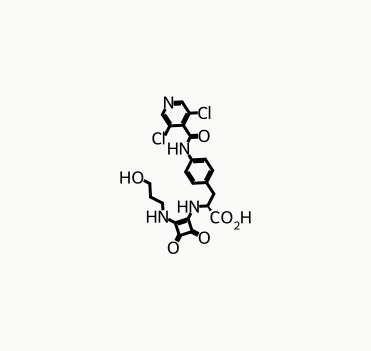 O=C(Nc1ccc(C[C@H](Nc2c(NCCCO)c(=O)c2=O)C(=O)O)cc1)c1c(Cl)cncc1Cl